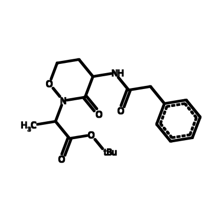 CC(C(=O)OC(C)(C)C)N1OCCC(NC(=O)Cc2ccccc2)C1=O